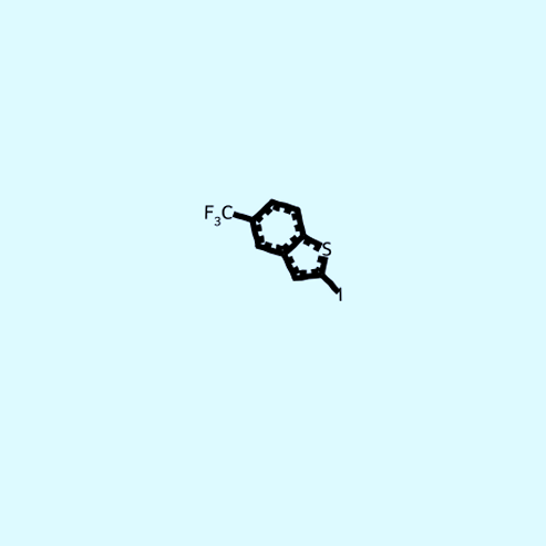 FC(F)(F)c1ccc2sc(I)cc2c1